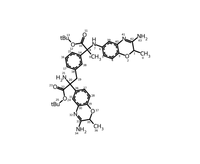 CC1Oc2ccc(NC(C)(C(=O)OC(C)(C)C)c3cccc(CC(N)(C(=O)OC(C)(C)C)c4ccc5c(c4)N=C(N)C(C)O5)c3)cc2N=C1N